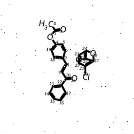 CC(=O)Oc1ccc(C=CC(=O)c2ccccc2)cc1.Clc1ccc2c(Cl)c1O2